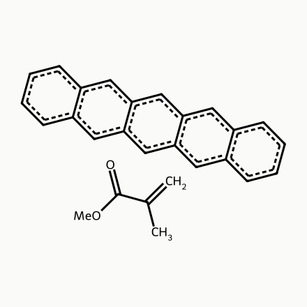 C=C(C)C(=O)OC.c1ccc2cc3cc4cc5ccccc5cc4cc3cc2c1